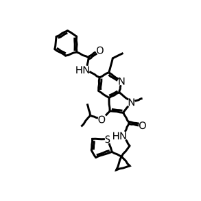 CCc1nc2c(cc1NC(=O)c1ccccc1)c(OC(C)C)c(C(=O)NCC1(c3cccs3)CC1)n2C